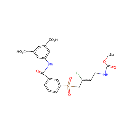 CC(C)(C)OC(=O)NCC=C(F)CS(=O)(=O)c1cccc(C(=O)Nc2cc(C(=O)O)cc(C(=O)O)c2)c1